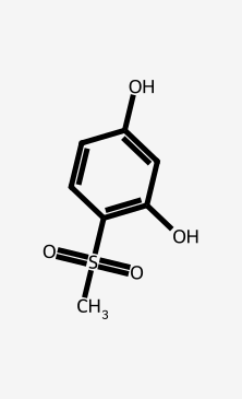 CS(=O)(=O)c1ccc(O)cc1O